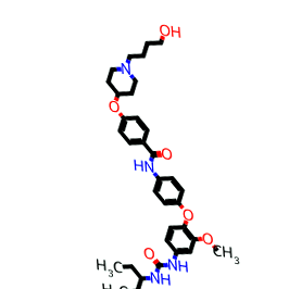 CCC(CC)NC(=O)Nc1ccc(Oc2ccc(NC(=O)c3ccc(OC4CCN(CCCCO)CC4)cc3)cc2)c(OC)c1